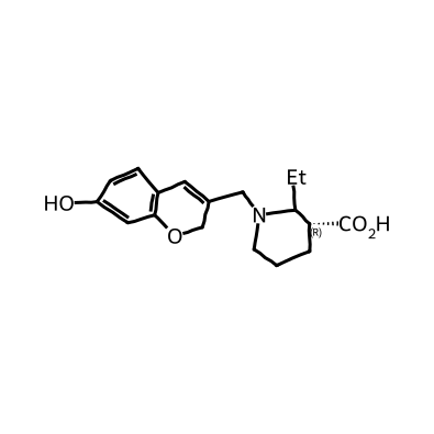 CCC1[C@H](C(=O)O)CCCN1CC1=Cc2ccc(O)cc2OC1